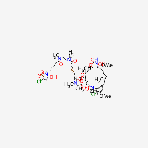 COc1cc2cc(c1Cl)N(C)C(=O)C[C@H](OC(=O)[C@H](C)N(C)C(=O)CCSCCC(=O)N(C)CCN(C)C(=O)CCCCCN1C(O)C=C(Cl)S1(=O)=O)[C@]1(C)O[C@H]1[C@H](C)[C@@H]1C[C@@](O)(NC(=O)O1)[C@H](OC)/C=C/C=C(\C)C2